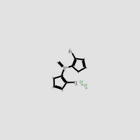 [CH2]=[Ti+2]([C]1=C(CC)C=CC1)[C]1=C(CC)C=CC1.[Cl-].[Cl-]